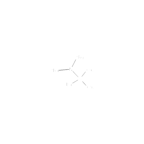 CC(C)(C)N(C(C)(C)C)[Si](C(C)(C)C)(C(C)(C)C)C(C)(C)C